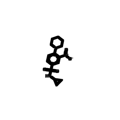 O=[N+]([O-])c1cc(S(=O)(=O)NC2CC2)ccc1N1CCCCC1